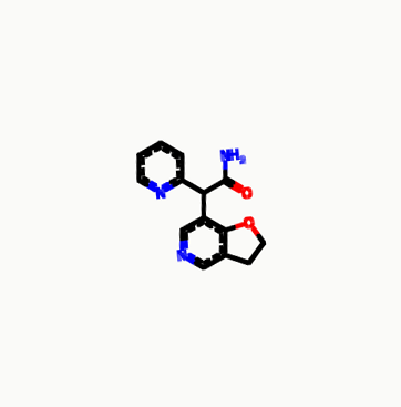 NC(=O)C(c1ccccn1)c1cncc2c1OCC2